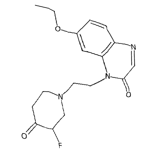 CCOc1ccc2ncc(=O)n(CCN3CCC(=O)C(F)C3)c2c1